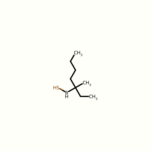 CCCCC(C)(BS)CC